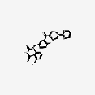 O=C(c1cc(Cn2c(=O)[nH]c(=O)c3c(Cl)cccc32)ccc1F)N1CCN(c2ncccn2)CC1